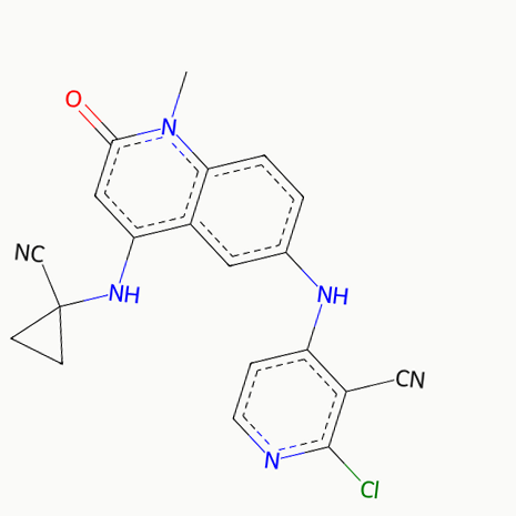 Cn1c(=O)cc(NC2(C#N)CC2)c2cc(Nc3ccnc(Cl)c3C#N)ccc21